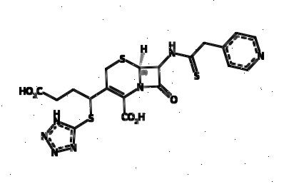 O=C(O)CCC(Sc1nnn[nH]1)C1=C(C(=O)O)N2C(=O)C(NC(=S)Cc3ccncc3)[C@@H]2SC1